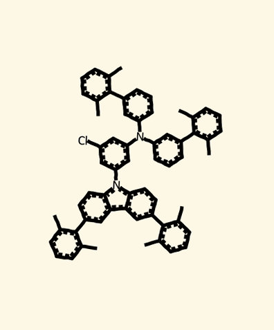 Cc1cccc(C)c1-c1cccc(N(c2cccc(-c3c(C)cccc3C)c2)c2cc(Cl)cc(-n3c4ccc(-c5c(C)cccc5C)cc4c4cc(-c5c(C)cccc5C)ccc43)c2)c1